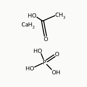 CC(=O)O.O=P(O)(O)O.[CaH2]